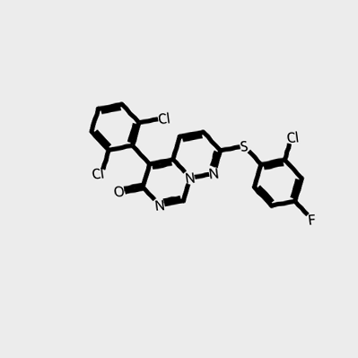 O=c1ncn2nc(Sc3ccc(F)cc3Cl)ccc2c1-c1c(Cl)cccc1Cl